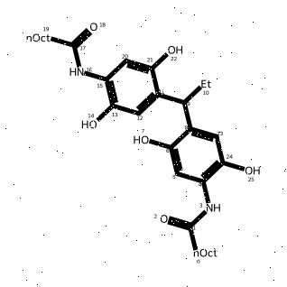 CCCCCCCCC(=O)Nc1cc(O)c(C(CC)c2cc(O)c(NC(=O)CCCCCCCC)cc2O)cc1O